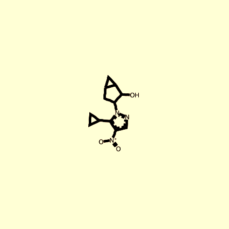 O=[N+]([O-])c1cnn(C2CC3CC3C2O)c1C1CC1